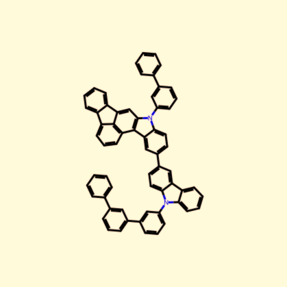 c1ccc(-c2cccc(-c3cccc(-n4c5ccccc5c5cc(-c6ccc7c(c6)c6c8cccc9c8c(cc6n7-c6cccc(-c7ccccc7)c6)-c6ccccc6-9)ccc54)c3)c2)cc1